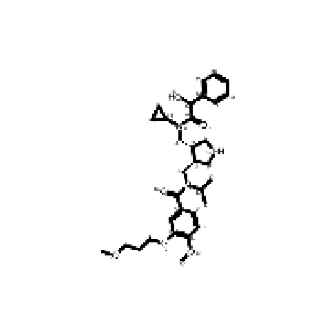 COCCCOc1cc(C(=O)N(C[C@@H]2CNC[C@H]2CN(C(=O)C(O)c2ccccc2)C2CC2)C(C)C)ccc1OC